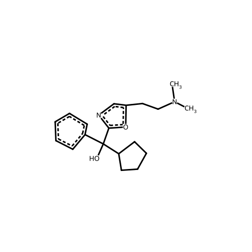 CN(C)CCc1cnc(C(O)(c2ccccc2)C2CCCC2)o1